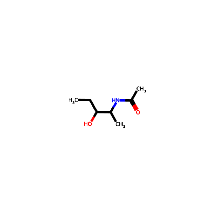 CCC(O)C(C)NC(C)=O